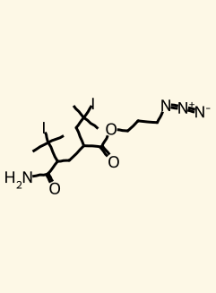 CC(C)(I)CC(CC(C(N)=O)C(C)(C)I)C(=O)OCCCN=[N+]=[N-]